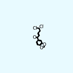 O=C(/C=C/CC(Cl)Cl)c1ccc2c(c1)OCO2